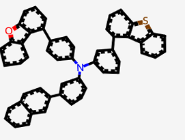 c1cc(-c2ccc3ccccc3c2)cc(N(c2ccc(-c3cccc4oc5ccccc5c34)cc2)c2cccc(-c3cccc4sc5ccccc5c34)c2)c1